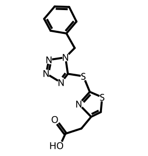 O=C(O)Cc1csc(Sc2nnnn2Cc2ccccc2)n1